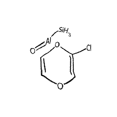 ClC1=COC=CO1.[O]=[Al][SiH3]